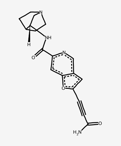 NC(=O)C#Cc1cc2cnc(C(=O)N[C@H]3CN4CCC3CC4)cc2o1